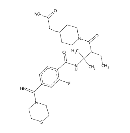 CCC(C(=O)N1CCC(CC(=O)O)CC1)C(C)(C)NC(=O)c1ccc(C(=N)N2CCSCC2)cc1F